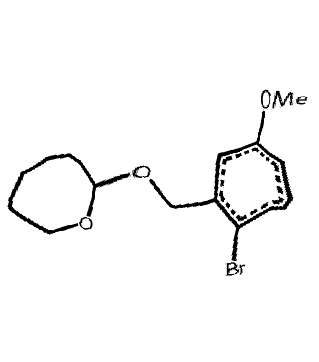 COc1ccc(Br)c(COC2CCCCO2)c1